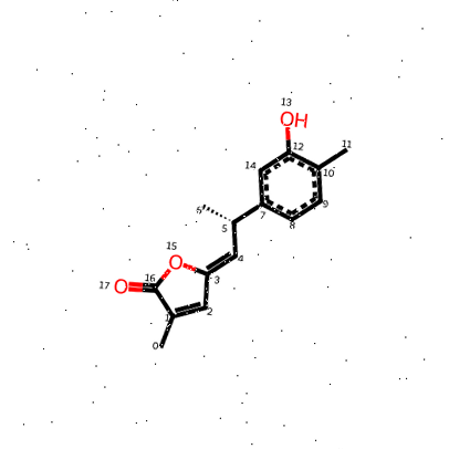 CC1=C/C(=C/[C@H](C)c2ccc(C)c(O)c2)OC1=O